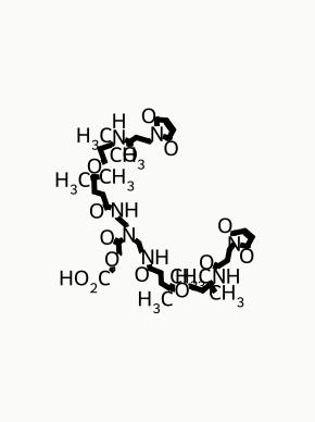 CC(C)(CCOC(C)(C)CCC(=O)NCCN(CCNC(=O)CCC(C)(C)OCCC(C)(C)NC(=O)CCN1C(=O)C=CC1=O)C(=O)COCC(=O)O)NC(=O)CCN1C(=O)C=CC1=O